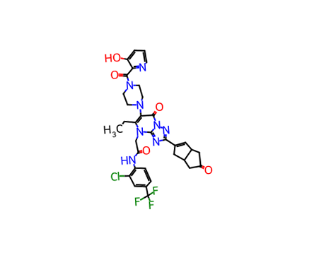 CCc1c(N2CCN(C(=O)c3ncccc3O)CC2)c(=O)n2nc(C3=CC4CC(=O)CC4C3)nc2n1CC(=O)Nc1ccc(C(F)(F)F)cc1Cl